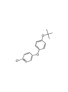 CC(C)(C)Oc1ccc(Oc2ccc(Cl)cc2)cc1